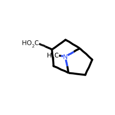 CN1C2CCC1CC(C(=O)O)C2